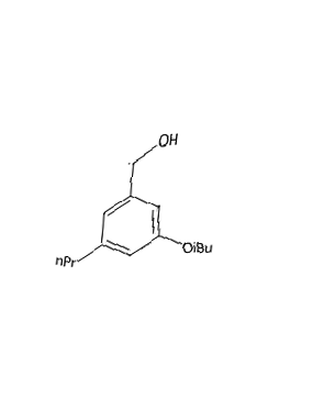 CCCc1cc([CH]O)cc(OCC(C)C)c1